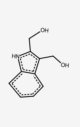 OCc1[nH]c2ccccc2c1CO